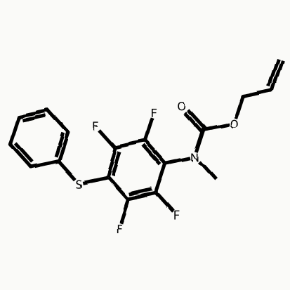 C=CCOC(=O)N(C)c1c(F)c(F)c(Sc2ccccc2)c(F)c1F